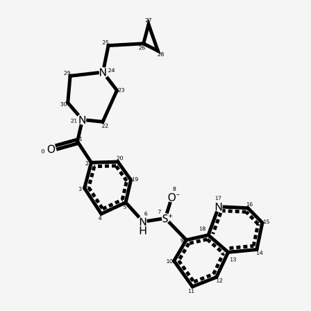 O=C(c1ccc(N[S+]([O-])c2cccc3cccnc23)cc1)N1CCN(CC2CC2)CC1